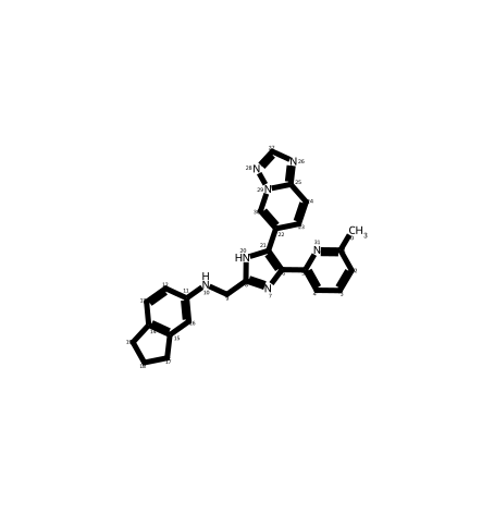 Cc1cccc(-c2nc(CNc3ccc4c(c3)CCC4)[nH]c2-c2ccc3ncnn3c2)n1